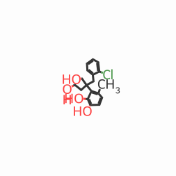 Cc1ccc(O)c(O)c1C(CO)(CCO)Cc1ccccc1Cl